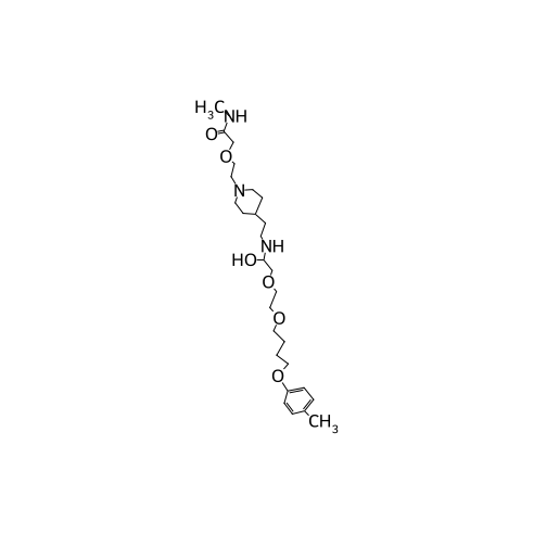 CNC(=O)COCCN1CCC(CCNC(O)COCCOCCCCOc2ccc(C)cc2)CC1